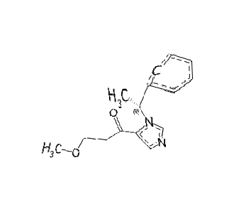 COCCC(=O)c1cncn1[C@H](C)c1ccccc1